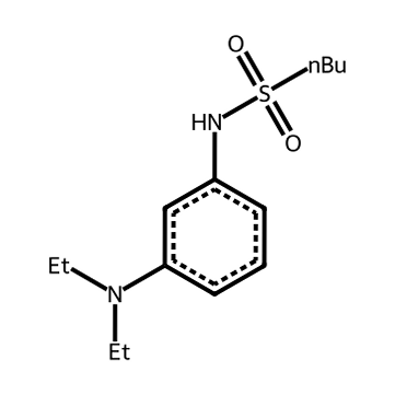 CCCCS(=O)(=O)Nc1cccc(N(CC)CC)c1